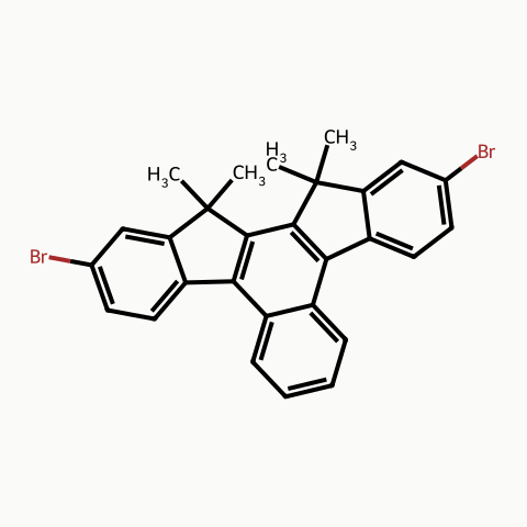 CC1(C)c2cc(Br)ccc2-c2c1c1c(c3ccccc23)-c2ccc(Br)cc2C1(C)C